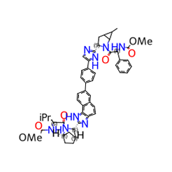 COC(=O)N[C@H](C(=O)N1[C@@H]2CC[C@@H](C2)[C@H]1c1nc2ccc3cc(-c4ccc(-c5cnc([C@@H]6CC7C(C)C7N6C(=O)[C@H](NC(=O)OC)c6ccccc6)[nH]5)cc4)ccc3c2[nH]1)C(C)C